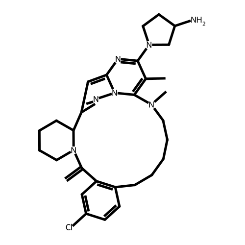 C=C1c2cc(Cl)ccc2CCCCCN(C)c2c(C)c(N3CCC(N)C3)nc3cc(nn23)C2CCCCN12